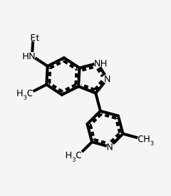 CCNc1cc2[nH]nc(-c3cc(C)nc(C)c3)c2cc1C